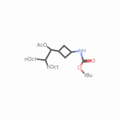 CCCCCCCCC(CCCCCCCC)C(OC(C)=O)C1CC(NC(=O)OC(C)(C)C)C1